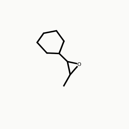 CC1OC1C1CCCCC1